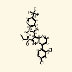 CCS(=O)(=O)c1nn2c(-c3ccc(Cl)cc3Cl)ccnc2c1-c1nc2cc(C(F)(F)F)cnc2n1C